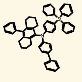 c1ccc(-c2ccc(N(c3ccc([Si](c4ccccc4)(c4ccccc4)c4ccccc4)cc3)c3c4c(c(-c5ccccc5)c5c3CCCC5)CCCC4)cc2)cc1